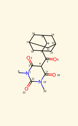 CN1C(=O)C(C(=O)C23CC4CC(CC(C4)C2)C3)C(=O)N(C)C1=O